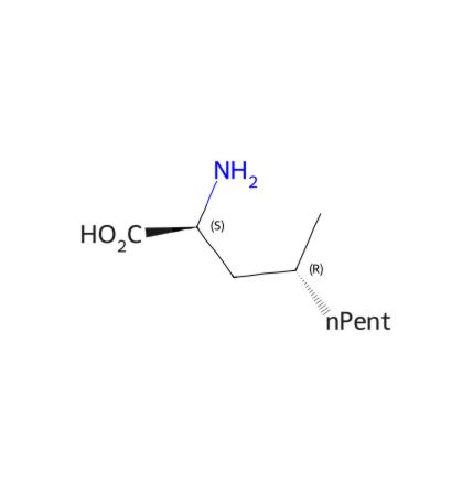 CCCCC[C@@H](C)C[C@H](N)C(=O)O